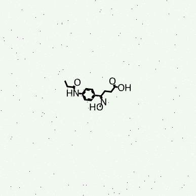 CCC(=O)Nc1ccc(/C(CCC(=O)O)=N\O)cc1